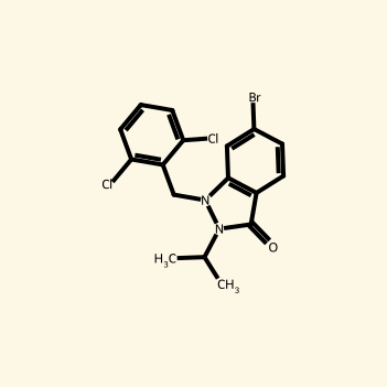 CC(C)n1c(=O)c2ccc(Br)cc2n1Cc1c(Cl)cccc1Cl